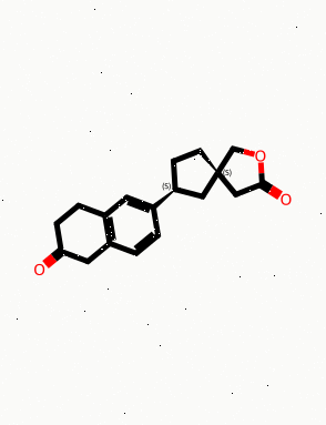 O=C1CCc2cc([C@H]3CC[C@]4(COC(=O)C4)C3)ccc2C1